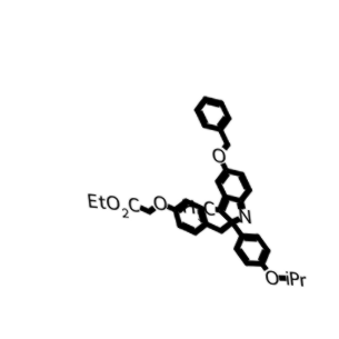 CCOC(=O)COc1ccc(CC2(c3ccc(OC(C)C)cc3)N=c3ccc(OCc4ccccc4)cc3=C2C)cc1